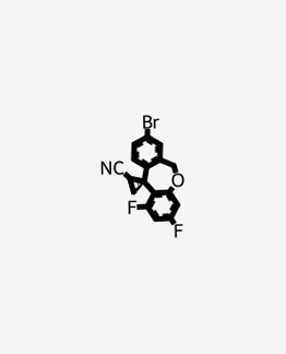 N#CC1C[C@]12c1ccc(Br)cc1COc1cc(F)cc(F)c12